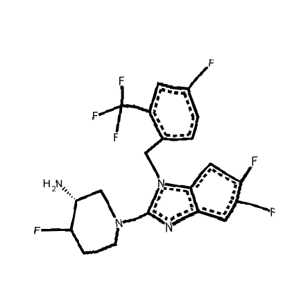 N[C@@H]1CN(c2nc3cc(F)c(F)cc3n2Cc2ccc(F)cc2C(F)(F)F)CCC1F